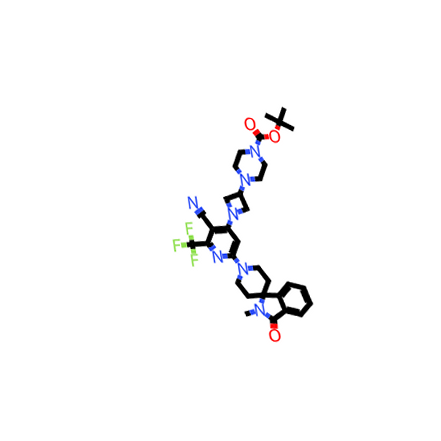 CN1C(=O)c2ccccc2C12CCN(c1cc(N3CC(N4CCN(C(=O)OC(C)(C)C)CC4)C3)c(C#N)c(C(F)(F)F)n1)CC2